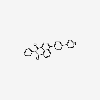 O=C1c2cccc3c(-c4ccc(-c5ccncc5)cc4)ccc(c23)C(=O)N1c1ccccc1